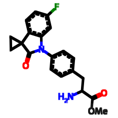 COC(=O)C(N)Cc1ccc(N2C(=O)C3(CC3)c3ccc(F)cc32)cc1